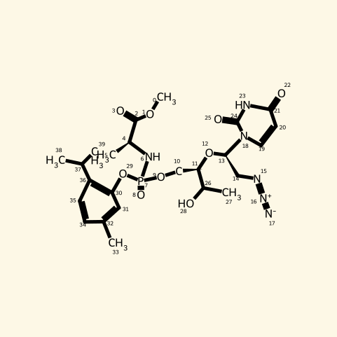 COC(=O)[C@H](C)NP(=O)(OC[C@@H](O[C@H](CN=[N+]=[N-])n1ccc(=O)[nH]c1=O)C(C)O)Oc1cc(C)ccc1C(C)C